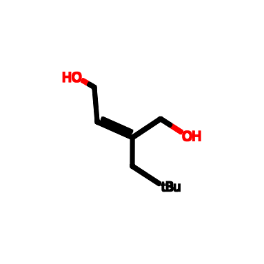 CC(C)(C)C/C(=C/CO)CO